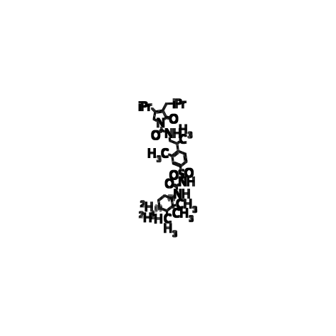 [2H]C([2H])([2H])[C@@H]1CC[C@@H](NC(=O)NS(=O)(=O)c2ccc(C(C)CNC(=O)N3CC(C(C)C)=C(CC(C)C)C3=O)c(C)c2)C(C)(C)C1C